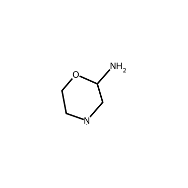 NC1C[N]CCO1